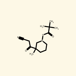 CC(C)(C)C(=O)ON1CCCC(C)(C(=O)CC#N)C1